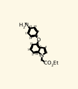 CCOC(=O)Cn1ccc2c(Oc3ccc(N)cc3)cccc21